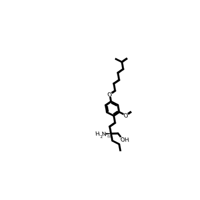 CCC[C@@](N)(CO)CCc1ccc(OCCCCCC(C)C)cc1OC